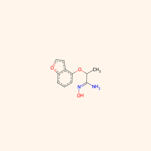 CC(Oc1cccc2occc12)C(N)=NO